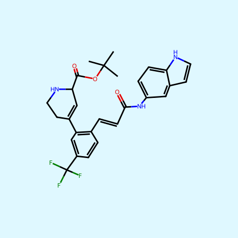 CC(C)(C)OC(=O)C1C=C(c2cc(C(F)(F)F)ccc2C=CC(=O)Nc2ccc3[nH]ccc3c2)CCN1